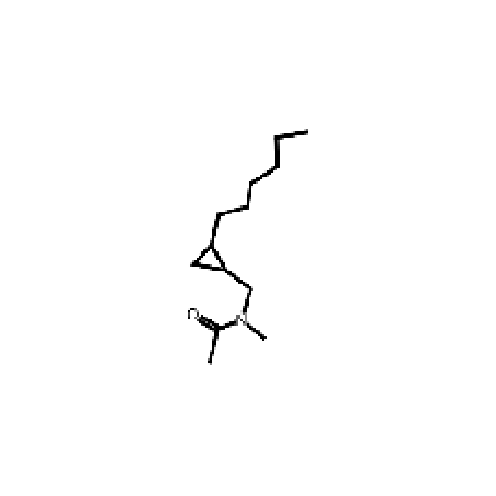 CCCCCCC1CC1CN(C)C(C)=O